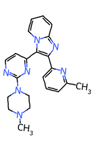 Cc1cccc(-c2nc3ccccn3c2-c2ccnc(N3CCN(C)CC3)n2)n1